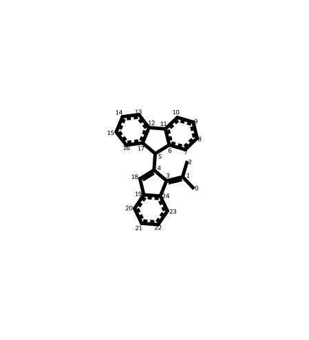 CC(C)=C1C(C2c3ccccc3-c3ccccc32)=Cc2ccccc21